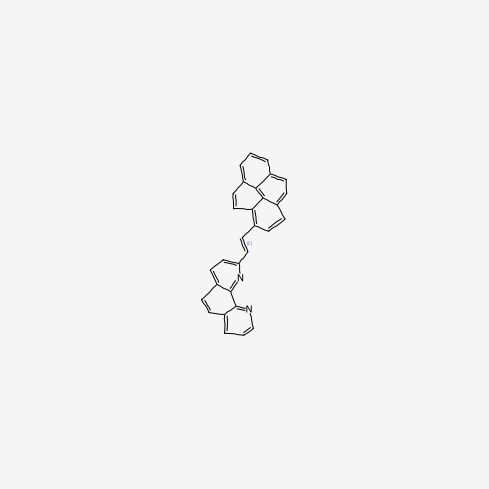 C(=C\c1ccc2ccc3cccc4ccc1c2c34)/c1ccc2ccc3cccnc3c2n1